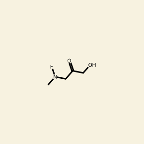 CN(F)CC(=O)CO